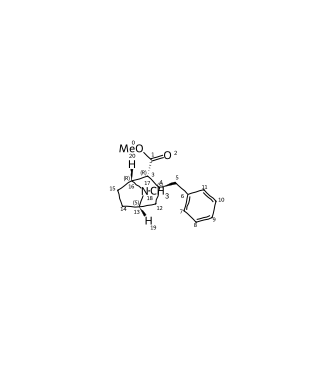 COC(=O)[C@@H]1[C@@H](Cc2ccccc2)C[C@@H]2CC[C@H]1N2C